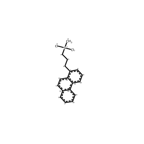 C[Si](Cl)(Cl)CCCc1cccc2c1ccc1ccccc12